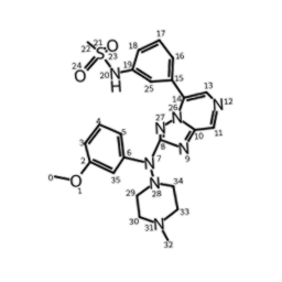 COc1cccc(N(c2nc3cncc(-c4cccc(NS(C)(=O)=O)c4)n3n2)N2CCN(C)CC2)c1